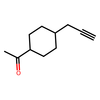 C#CCC1CCC(C(C)=O)CC1